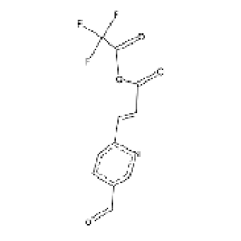 O=Cc1ccc(/C=C/C(=O)OC(=O)C(F)(F)F)nc1